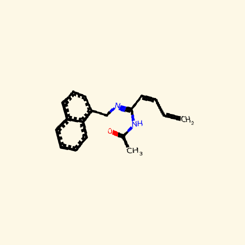 C=C/C=C\C(=N\Cc1cccc2ccccc12)NC(C)=O